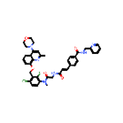 Cc1cc(N2CCOCC2)c2cccc(OCc3c(Cl)ccc(N(C)C(=O)CNC(=O)C=Cc4ccc(C(=O)NCc5ccccn5)cc4)c3Cl)c2n1